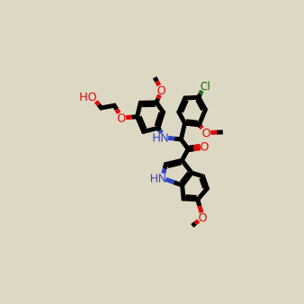 COc1cc(NC(C(=O)c2c[nH]c3cc(OC)ccc23)c2ccc(Cl)cc2OC)cc(OCCO)c1